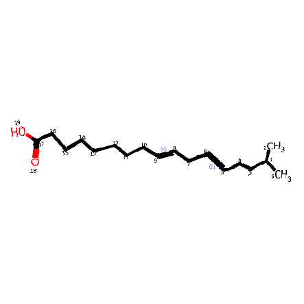 CC(C)CC/C=C/C/C=C/CCCCCCCC(=O)O